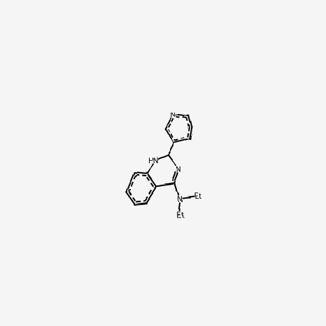 CCN(CC)C1=NC(c2cccnc2)Nc2ccccc21